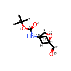 CC(C)(C)OC(=O)NC12COC(C=O)(C1)C2